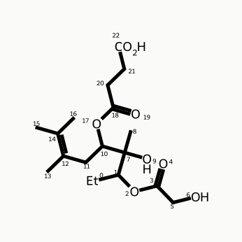 CCC(OC(=O)CO)C(C)(O)C(CC(C)=C(C)C)OC(=O)CCC(=O)O